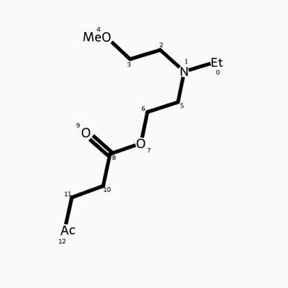 CCN(CCOC)CCOC(=O)CCC(C)=O